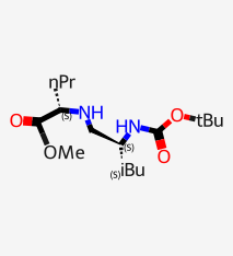 CCC[C@H](NC[C@@H](NC(=O)OC(C)(C)C)[C@@H](C)CC)C(=O)OC